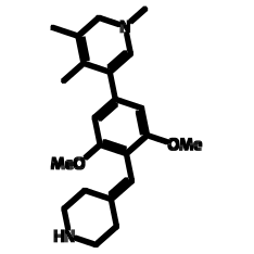 COc1cc(C2=CN(C)CC(C)=C2C)cc(OC)c1C=C1CCNCC1